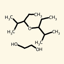 CCC(OC(CC)C(C)C)C(C)C.OCCO